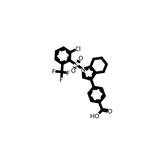 O=C(O)c1ccc(-c2cn(S(=O)(=O)c3c(Cl)cccc3C(F)(F)F)c3c2CCCC3)cc1